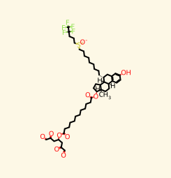 C[C@]12CC[C@@H]3c4ccc(O)cc4C[C@@H](CCCCCCCCC[S+]([O-])CCCC(F)(F)C(F)(F)F)[C@H]3[C@@H]1CC[C@@H]2OC(=O)CCCCCCCCCCC(=O)OC(CC(=O)C=O)CC(=O)C=O